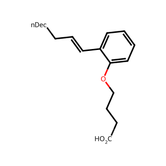 CCCCCCCCCCC/C=C/c1ccccc1OCCCC(=O)O